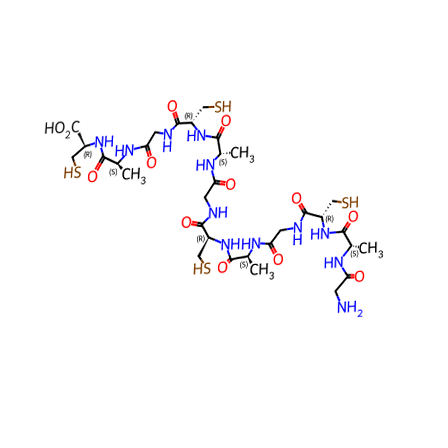 C[C@H](NC(=O)CNC(=O)[C@H](CS)NC(=O)[C@H](C)NC(=O)CNC(=O)[C@H](CS)NC(=O)[C@H](C)NC(=O)CNC(=O)[C@H](CS)NC(=O)[C@H](C)NC(=O)CN)C(=O)N[C@@H](CS)C(=O)O